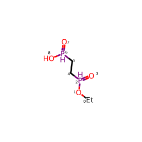 CCO[PH](=O)CC[PH](=O)O